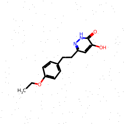 CCOc1ccc(CCc2cc(O)c(=O)[nH]n2)cc1